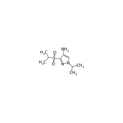 CC(C)n1cc(N)c(S(=O)(=O)C(C)C)n1